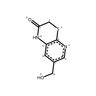 O=C1CSc2ncc(CO)cc2N1